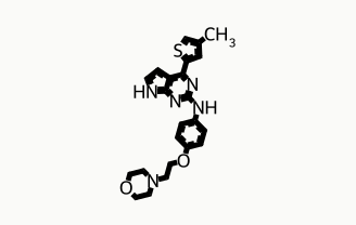 Cc1csc(-c2nc(Nc3ccc(OCCN4CCOCC4)cc3)nc3[nH]ccc23)c1